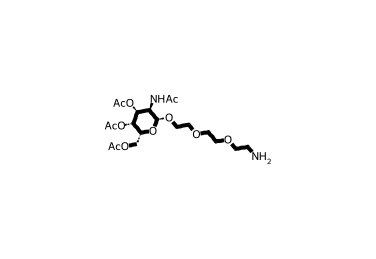 CC(=O)N[C@H]1[C@H](OCCOCCOCCN)O[C@H](COC(C)=O)[C@H](OC(C)=O)[C@@H]1OC(C)=O